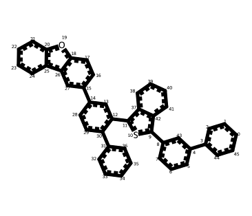 c1ccc(-c2cccc(-c3sc(-c4cc(-c5ccc6oc7ccccc7c6c5)ccc4-c4ccccc4)c4ccccc34)c2)cc1